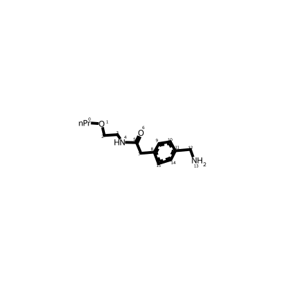 CCCOCCNC(=O)Cc1ccc(CN)cc1